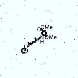 COC(=O)c1ccc(OC)c(NC/C=C(\C)CC/C=C(\C)COC2CCCCO2)c1